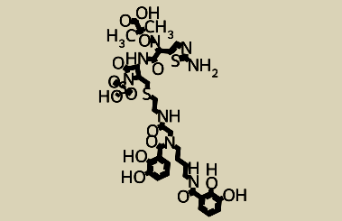 CC(C)(O/N=C(\C(=O)N[C@@H]1C(=O)N(S(=O)(=O)O)C1CSCCNC(=O)CN(CCCCNC(=O)c1cccc(O)c1O)C(=O)c1cccc(O)c1O)c1cnc(N)s1)C(=O)O